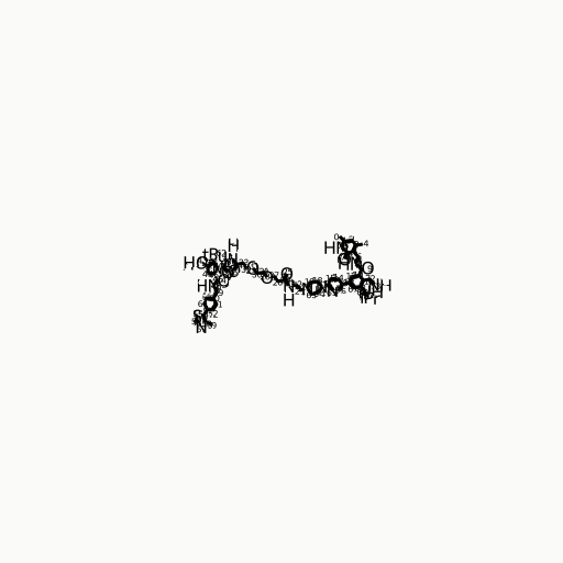 Cc1cc(C)c(CNC(=O)c2cc(-c3ccc(N4CCN(CCNC(=O)CCOCCOCCC(=O)NC(C(=O)N5C[C@H](O)C[C@H]5C(=O)NCc5ccc(-c6scnc6C)cc5)C(C)(C)C)CC4)nc3)cc(NC(C)C)c2C=N)c(=O)[nH]1